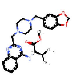 COC(=O)[C@@H](Nc1nc(CN2CCN(Cc3ccc4c(c3)OCO4)CC2)nc2ccccc12)C(C)C